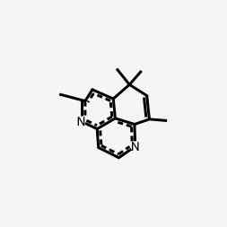 CC1=CC(C)(C)c2cc(C)nc3ccnc1c23